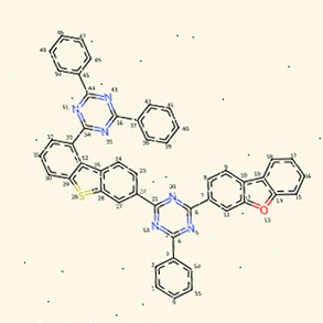 c1ccc(-c2nc(-c3ccc4c(c3)oc3ccccc34)nc(-c3ccc4c(c3)sc3cccc(-c5nc(-c6ccccc6)nc(-c6ccccc6)n5)c34)n2)cc1